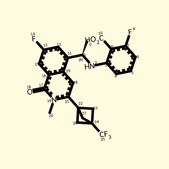 C[C@@H](Nc1cccc(F)c1C(=O)O)c1cc(F)cc2c(=O)n(C)c(C34CC(C(F)(F)F)(C3)C4)cc12